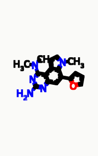 CN(C)c1nc(N)nc2cc(-c3ccco3)c3c(ccn3C)c12